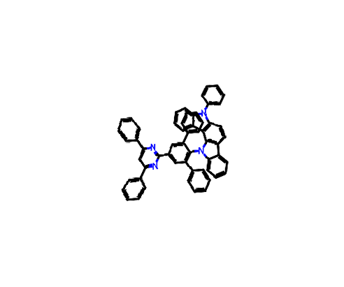 c1ccc(-c2cc(-c3ccccc3)nc(-c3cc(-c4ccccc4)c(-n4c5ccccc5c5ccc6c(c7ccccc7n6-c6ccccc6)c54)c(-c4ccccc4)c3)n2)cc1